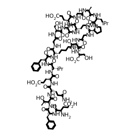 CSCC[C@H](NC(=O)[C@@H](NC(=O)[C@H](CO)NC(=O)CNC(=O)[C@H](CCCCN)NC(=O)[C@H](Cc1ccccc1)NC(=O)[C@@H](NC(=O)[C@H](CCC(=O)O)NC(=O)[C@H](CCC(N)=O)NC(=O)[C@@H](NC(=O)[C@H](Cc1ccccc1)NC(=O)[C@@H](N)CCC(=O)O)[C@@H](C)O)C(C)C)C(C)C)C(=O)N[C@@H](CCC(=O)O)C(=O)NCC(=O)N[C@@H](C)C(=O)N[C@@H](CC(C)C)C(=O)N1CCC[C@H]1C(=O)NCC(=O)N[C@H](C(=O)N[C@@H](CO)C(=O)O)[C@@H](C)O